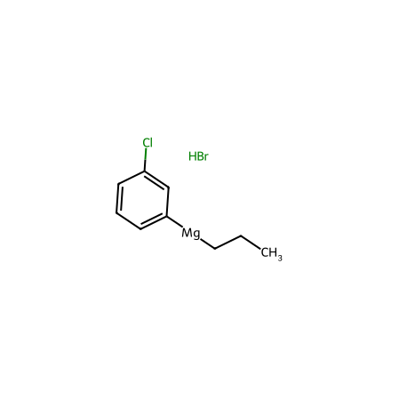 Br.CC[CH2][Mg][c]1cccc(Cl)c1